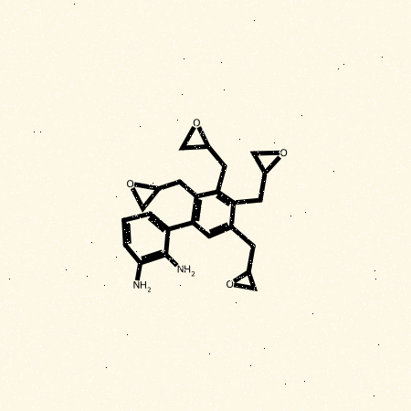 Nc1cccc(-c2cc(CC3CO3)c(CC3CO3)c(CC3CO3)c2CC2CO2)c1N